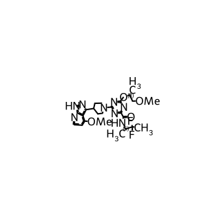 COC[C@@H](C)Oc1nc(C(=O)N[C@@H](C)C(C)(F)F)nc(N2CCC(c3n[nH]c4nccc(OC)c34)CC2)n1